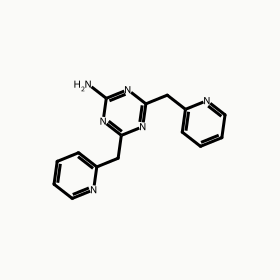 Nc1nc(Cc2ccccn2)nc(Cc2ccccn2)n1